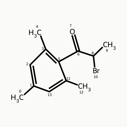 Cc1cc(C)c(C(=O)C(C)Br)c(C)c1